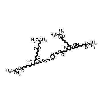 CC(C)CCOC(=O)CCCCC(O)CN(CCCSSCCN1CCN(CCOC(=O)CCCCN(CC(O)CCCCC(=O)OC(C)C)CC(O)CCCCC(=O)OC(C)C)CC1)CC(O)CCCCC(=O)OCCC(C)C